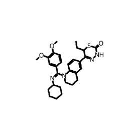 CCC1SC(=O)NN=C1c1ccc2c(c1)CCCN2/C(=N\C1CCCCC1)c1ccc(OC)c(OC)c1